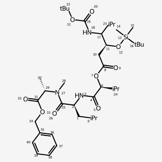 CC(C)C[C@H](NC(=O)[C@@H](OC(=O)C[C@H](O[Si](C)(C)C(C)(C)C)C(NC(=O)OC(C)(C)C)C(C)C)C(C)C)C(=O)N(C)[C@@H](C)C(=O)OCc1ccccc1